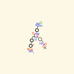 Cc1cc(S(N)(=O)=O)ccc1-c1ccc(C[C@H](NC(=O)C2CCC(CNC(=O)OC(C)(C)C)CC2)C(=O)Nc2ccc(-c3nnc(Cl)[nH]3)cc2)cc1